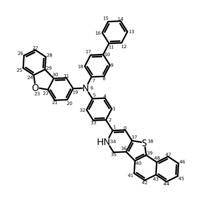 C1=C(c2ccc(N(c3ccc(-c4ccccc4)cc3)c3ccc4oc5ccccc5c4c3)cc2)NCc2c1sc1c2ccc2ccccc21